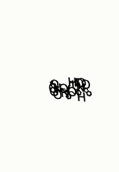 COC(=O)[C@@H]1C[C@@H](Oc2nc3ccccc3c(OCc3ccccc3)c2C#CCCC[C@@H]2C[C@H]2OC(=O)NC(C(=O)O)C2Cc3ccccc3C2)CN1C(=O)OC(C)(C)C